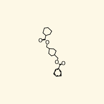 O=C(OCC1CCC(COC(=O)C2CCCCC2)CC1)c1ccccc1